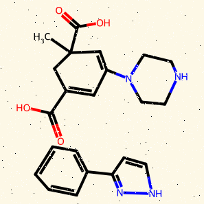 CC1(C(=O)O)C=C(N2CCNCC2)C=C(C(=O)O)C1.c1ccc(-c2cc[nH]n2)cc1